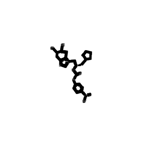 O=C(Oc1ccc([N+](=O)[O-])cc1)O[C@@H](CC1CCCC1)Cn1cnc2c1C=C(Cl)C(Cl)C2